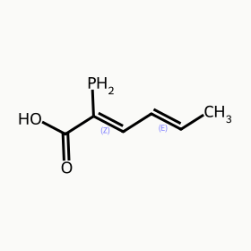 C/C=C/C=C(\P)C(=O)O